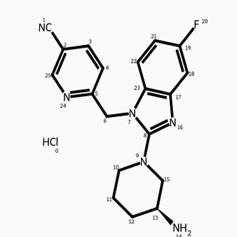 Cl.N#Cc1ccc(Cn2c(N3CCC[C@H](N)C3)nc3cc(F)ccc32)nc1